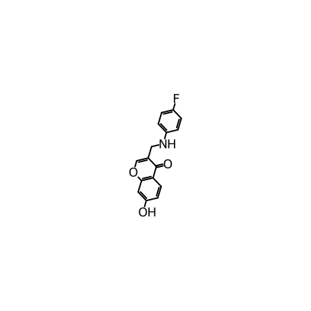 O=c1c(CNc2ccc(F)cc2)coc2cc(O)ccc12